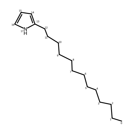 CCCCCCCCCCCCCc1ccc[nH]1